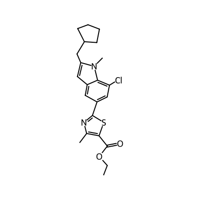 CCOC(=O)c1sc(-c2cc(Cl)c3c(c2)cc(CC2CCCC2)n3C)nc1C